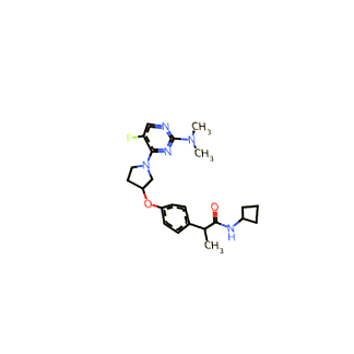 CC(C(=O)NC1CCC1)c1ccc(OC2CCN(c3nc(N(C)C)ncc3F)C2)cc1